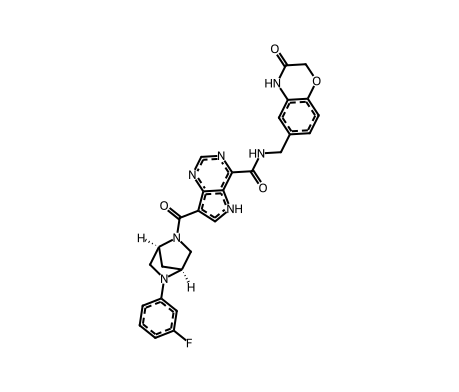 O=C1COc2ccc(CNC(=O)c3ncnc4c(C(=O)N5C[C@@H]6C[C@H]5CN6c5cccc(F)c5)c[nH]c34)cc2N1